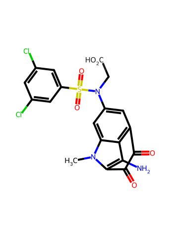 Cn1c2c(N)c3c(cc(N(CC(=O)O)S(=O)(=O)c4cc(Cl)cc(Cl)c4)cc31)C(=O)C2=O